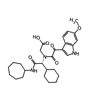 COc1ccc2c(C(=O)C(=O)N(CC(=O)O)[C@@H](C(=O)NC3CCCCCC3)C3CCCCC3)c[nH]c2c1